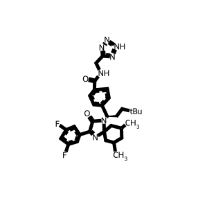 CC1CC(C)CC2(C1)N=C(c1cc(F)cc(F)c1)C(=O)N2[C@H](CCC(C)(C)C)c1ccc(C(=O)NCc2nn[nH]n2)cc1